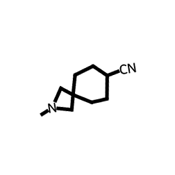 CN1CC2(CCC(C#N)CC2)C1